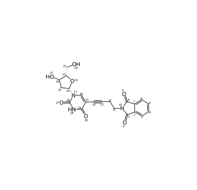 O=C1c2ccccc2C(=O)N1CCC#Cc1cn([C@@H]2CC(O)[C@H](CO)O2)c(=O)[nH]c1=O